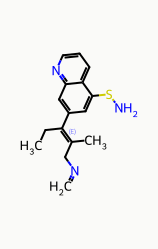 C=NC/C(C)=C(\CC)c1cc(SN)c2cccnc2c1